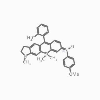 CC/[Si](c1ccc(OC)cc1)=c1\ccc2c(c1)[Si](C)(C)c1cc3c(cc1C=2c1ccccc1C)CCN3C